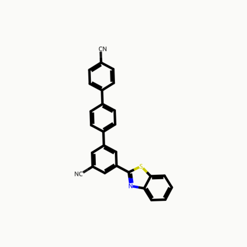 N#Cc1ccc(-c2ccc(-c3cc(C#N)cc(-c4nc5ccccc5s4)c3)cc2)cc1